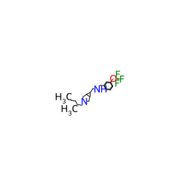 CCCC(C)CN1CC2C(CNCc3cccc(OC(F)(F)F)c3)C2C1